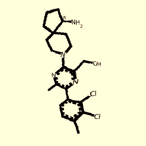 Cc1ccc(-c2nc(CO)c(N3CCC4(CCC[C@H]4N)CC3)nc2C)c(Cl)c1Cl